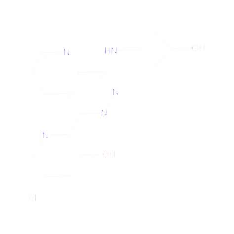 Oc1cc(Cl)cnc1-c1nnc(NC2CC(O)C2)c2ncccc12